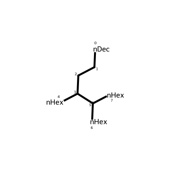 CCCCCCCCCCCCC(CCCCCC)[C](CCCCCC)CCCCCC